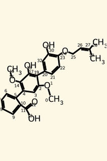 COc1cc(-c2ccccc2C(=O)O)c(OC)c(O)c1-c1ccc(OCC=C(C)C)c(O)c1